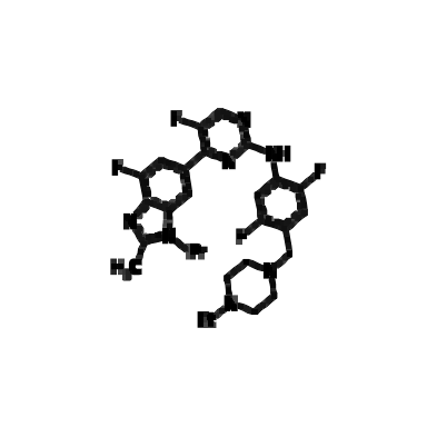 CCN1CCN(Cc2cc(F)c(Nc3ncc(F)c(-c4cc(F)c5nc(C)n(C(C)C)c5c4)n3)cc2F)CC1